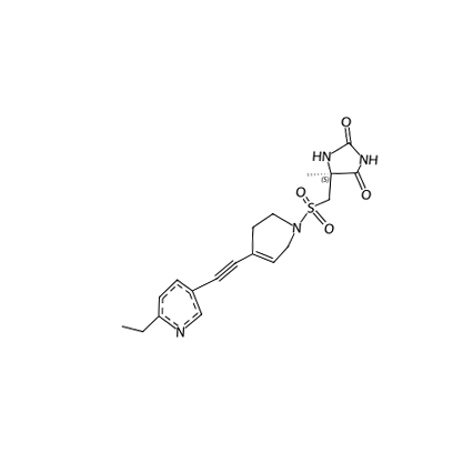 CCc1ccc(C#CC2=CCN(S(=O)(=O)C[C@@]3(C)NC(=O)NC3=O)CC2)cn1